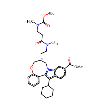 COC(=O)c1ccc2c(C3CCCCC3)c3n(c2c1)C[C@@H](CCN(C)C(=O)CCN(C)C(=O)OC(C)(C)C)COc1ccccc1-3